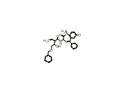 C=CC(C(=O)NC1N=C(c2ccccc2)c2cc(Cl)ccc2N(C)C1=O)C(O)COCc1ccccc1